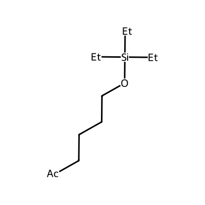 CC[Si](CC)(CC)OCCCCC(C)=O